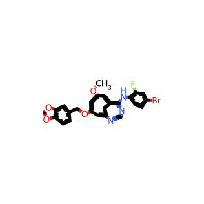 COC1=C=C(OCc2ccc3c(c2)OCO3)/C=C2\C/C(=C\1)C(Nc1ccc(Br)cc1F)=NC=N2